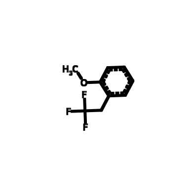 COc1ccccc1CC(F)(F)F